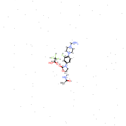 CC(=O)NC[C@H]1CN(c2ccc(N3CCN(CN)CC3)c(F)c2)C(=O)O1.O=C(O)C(F)(F)F